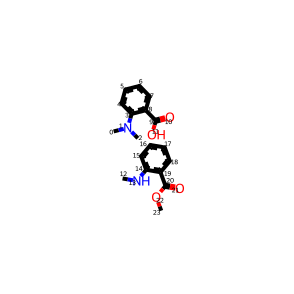 CN(C)c1ccccc1C(=O)O.CNc1ccccc1C(=O)OC